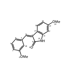 COc1cccc(C=C2C(=O)Nc3cc(OC)ccc32)c1